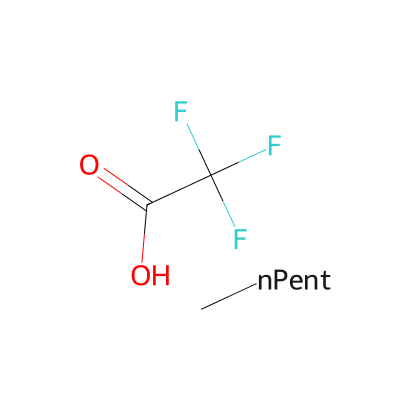 CCCCCC.O=C(O)C(F)(F)F